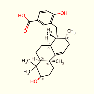 C[C@@H]1CC=C2[C@@H](CC[C@@H]3C(C)(C)[C@H](O)CC[C@@]23C)[C@]1(C)Cc1cc(C(=O)O)ccc1O